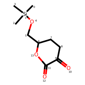 C[Si](C)(C)OCC1CCC(=O)C(=O)O1